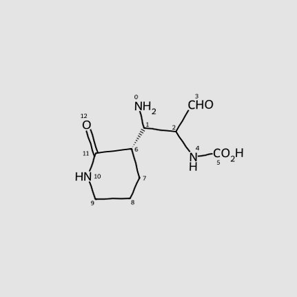 NC(C(C=O)NC(=O)O)[C@@H]1CCCNC1=O